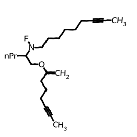 C=C(CCCC#CC)OCC(CCC)N(F)CCCCCCC#CC